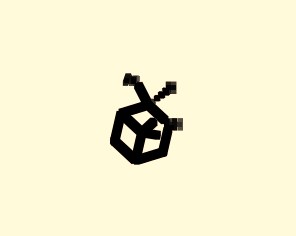 CC(=O)[C@H]1NCC2CC1C2(C)C